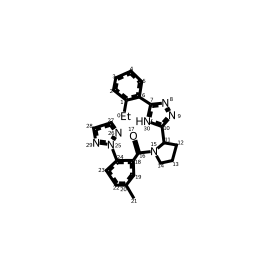 CCc1ccccc1-c1nnc(C2CCCN2C(=O)c2cc(C)ccc2-n2nccn2)[nH]1